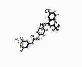 CC(C)/C=C(\CC(N)=O)CC(=O)N[C@H]1CC[C@@H](Nc2cc(C(F)(F)F)nc3ccc(Cl)cc23)CC1